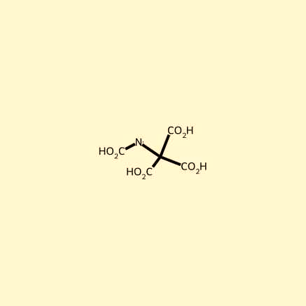 O=C(O)[N]C(C(=O)O)(C(=O)O)C(=O)O